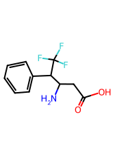 NC(CC(=O)O)C(c1ccccc1)C(F)(F)F